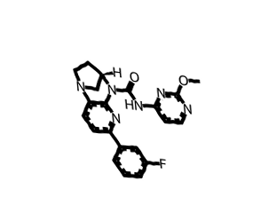 COc1nccc(NC(=O)N2c3nc(-c4cccc(F)c4)ccc3N3CC[C@H]2C3)n1